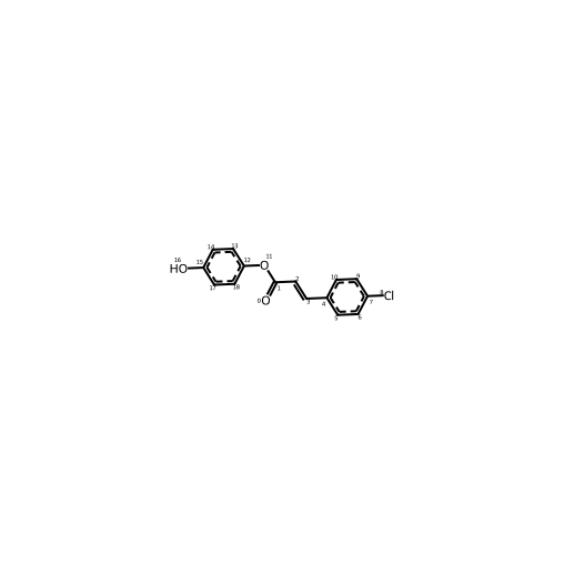 O=C(/C=C/c1ccc(Cl)cc1)Oc1ccc(O)cc1